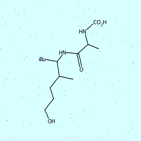 CCC(C)C(NC(=O)C(C)NC(=O)O)C(C)CCCO